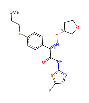 COCCSc1ccc(/C(=N\O[C@@H]2CCOC2)C(=O)Nc2ncc(F)s2)cc1